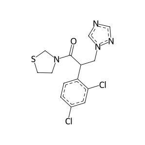 O=C(C(Cn1cncn1)c1ccc(Cl)cc1Cl)N1CCSC1